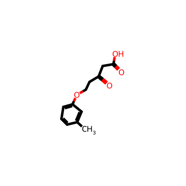 Cc1cccc(OCCC(=O)CC(=O)O)c1